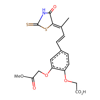 COC(=O)COc1cc(C=CC(C)=C2SC(=S)NC2=O)ccc1OCC(=O)O